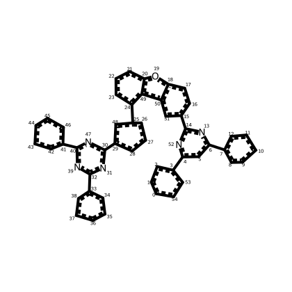 c1ccc(-c2cc(-c3ccccc3)nc(-c3ccc4oc5cccc(-c6cccc(-c7nc(-c8ccccc8)nc(-c8ccccc8)n7)c6)c5c4c3)n2)cc1